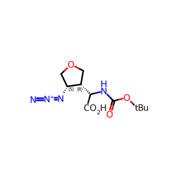 CC(C)(C)OC(=O)NC(C(=O)O)[C@H]1COC[C@H]1N=[N+]=[N-]